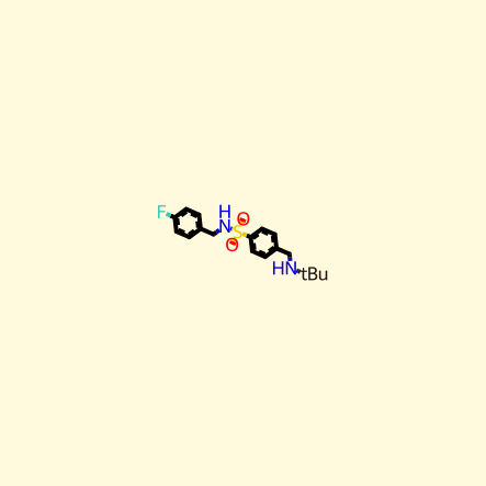 CC(C)(C)NCc1ccc(S(=O)(=O)NCc2ccc(F)cc2)cc1